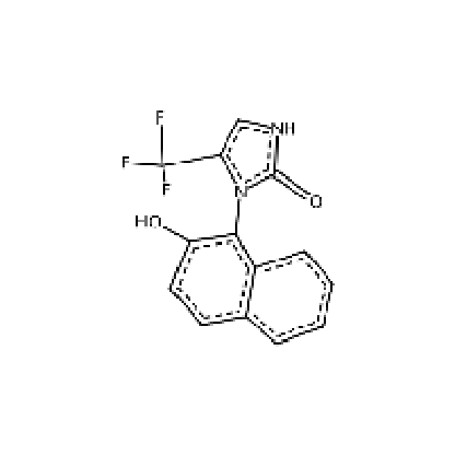 O=c1[nH]cc(C(F)(F)F)n1-c1c(O)ccc2ccccc12